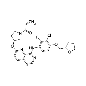 C=CC(=O)N1CC[C@H](Oc2ccc3ncnc(Nc4ccc(OCC5CCCO5)c(Cl)c4F)c3n2)C1